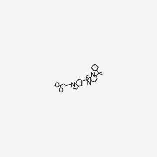 COC(=O)CCCn1ccc2cc(-c3nc4ccc(C5(c6ccccc6)CC5)nc4s3)ccc21